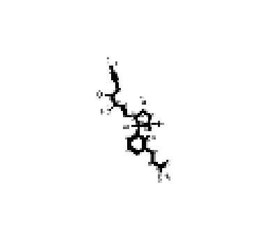 CC#CC[C@H](C)[C@H](O)C=C[C@@H]1[C@H]2c3cccc(CCC(N)=O)c3O[C@H]2C[C@H]1O